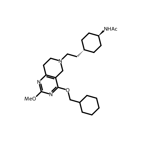 COc1nc2c(c(OCC3CCCCC3)n1)CN(CC[C@H]1CC[C@H](NC(C)=O)CC1)CC2